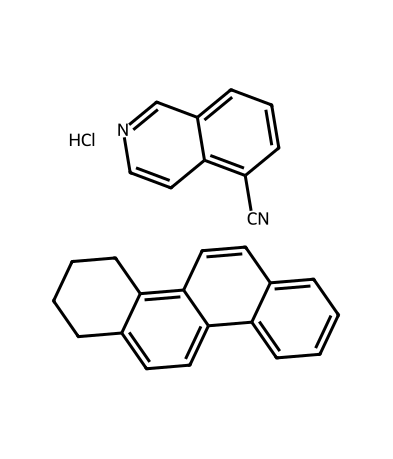 Cl.N#Cc1cccc2cnccc12.c1ccc2c(c1)ccc1c3c(ccc12)CCCC3